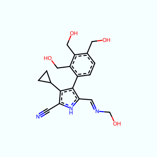 N#Cc1[nH]c(/C=N/CO)c(-c2ccc(CO)c(CO)c2CO)c1C1CC1